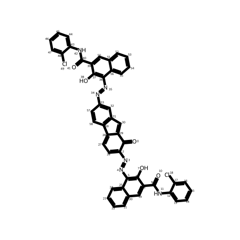 O=C1C(N=Nc2c(O)c(C(=O)Nc3ccccc3Cl)cc3ccccc23)=CC=C2C1=Cc1cc(N=Nc3c(O)c(C(=O)Nc4ccccc4Cl)cc4ccccc34)ccc12